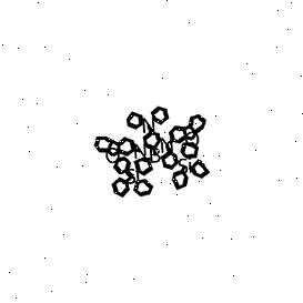 c1ccc(N(c2ccccc2)c2cc3c4c(c2)N(c2ccc5c(c2)oc2ccccc25)c2cc([Si](c5ccccc5)(c5ccccc5)c5ccccc5)ccc2B4c2ccc([Si](c4ccccc4)(c4ccccc4)c4ccccc4)cc2N3c2ccc3c(c2)oc2ccccc23)cc1